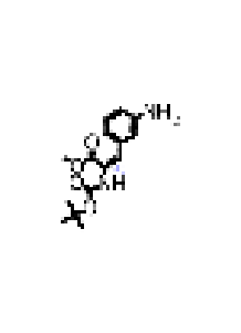 COC(=O)/C(=C\c1cccc(N)c1)NC(=O)OC(C)(C)C